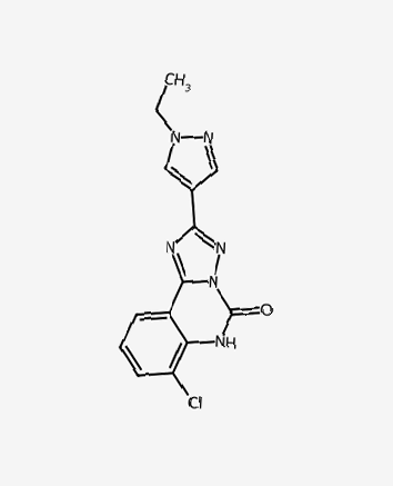 CCn1cc(-c2nc3c4cccc(Cl)c4[nH]c(=O)n3n2)cn1